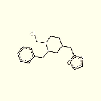 ClCC1CCC(Cc2ncco2)CC1Cc1ccccc1